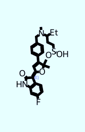 CCC(CCS(=O)O)N(C)Cc1ccc(C2=C/C(=C3\C(=O)Nc4cc(F)ccc43)OC2(C)C)cc1